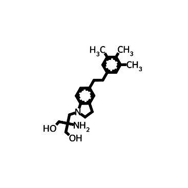 Cc1cc(CCc2ccc3c(c2)CCN3CC(N)(CO)CO)cc(C)c1C